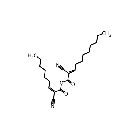 CCCCCCC=C(C#N)C(=O)OC(=O)C(C#N)=CCCCCCCCC